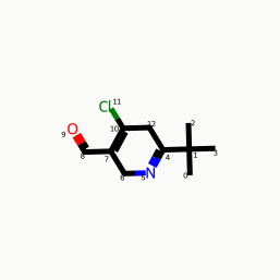 CC(C)(C)C1=NCC(C=O)=C(Cl)C1